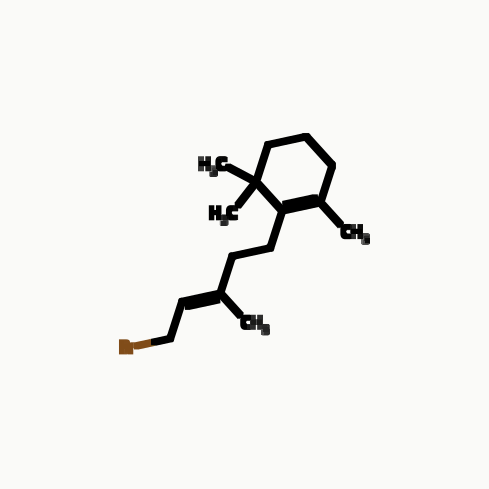 CC1=C(CC/C(C)=C/CBr)C(C)(C)CCC1